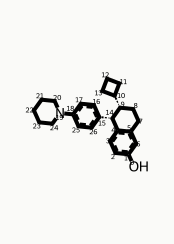 Oc1ccc2c(c1)CC[C@@H](C1CCC1)[C@H]2c1ccc(N2CCCCC2)cc1